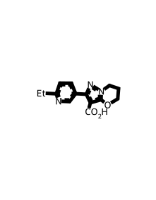 CCc1ccc(-c2nn3c(c2C(=O)O)OCCC3)cn1